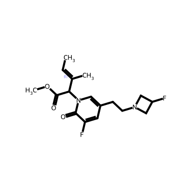 C/C=C(\C)C(C(=O)OC)n1cc(CCN2CC(F)C2)cc(F)c1=O